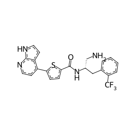 NC[C@H](Cc1ccccc1C(F)(F)F)NC(=O)c1ccc(-c2ccnc3[nH]ccc23)s1